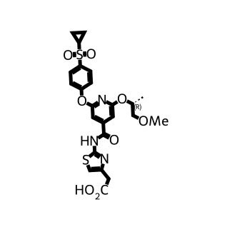 COC[C@@H](C)Oc1cc(C(=O)Nc2nc(CC(=O)O)cs2)cc(Oc2ccc(S(=O)(=O)C3CC3)cc2)n1